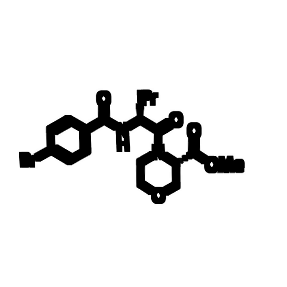 COC(=O)[C@@H]1COCCN1C(=O)[C@@H](NC(=O)c1ccc(Br)cc1)C(C)C